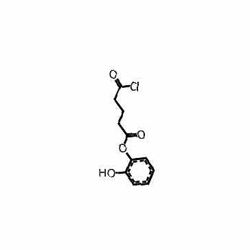 O=C(Cl)CCCC(=O)Oc1ccccc1O